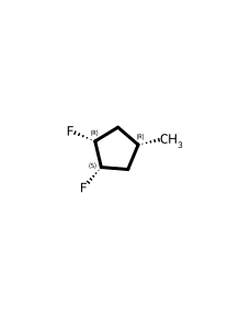 C[C@H]1C[C@@H](F)[C@@H](F)C1